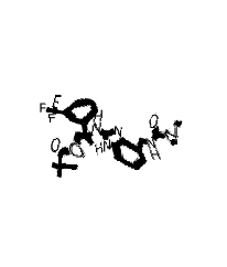 CN(C)C(=O)NCc1cccc2[nH]c(NC(C)(COC(=O)C(C)(C)C)c3cccc(C(F)(F)F)c3)nc12